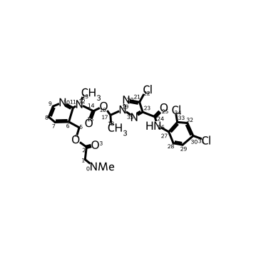 CNCC(=O)OCc1cccnc1N(C)C(=O)OC(C)n1nc(Cl)c(C(=O)Nc2ccc(Cl)cc2Cl)n1